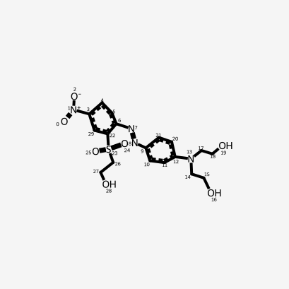 O=[N+]([O-])c1ccc(N=Nc2ccc(N(CCO)CCO)cc2)c(S(=O)(=O)CCO)c1